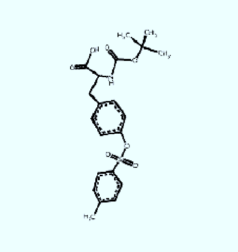 Cc1ccc(S(=O)(=O)Oc2ccc(CC(NC(=O)OC(C)(C)C)C(=O)O)cc2)cc1